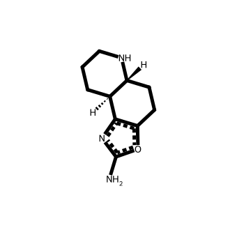 Nc1nc2c(o1)CC[C@H]1NCCC[C@H]21